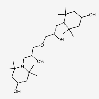 CC1(C)CC(O)CC(C)(C)N1CC(O)COCC(O)CN1C(C)(C)CC(O)CC1(C)C